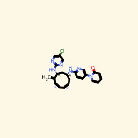 C=C1/C=C\C=C/C[C@H](Nc2ccc(-n3ccccc3=O)cn2)C[C@H]1Nc1ncc(Cl)cn1